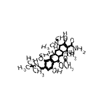 COC1=C2C(=O)c3c(O)cc(CNC(C)(C)C)c(OC)c3C[C@H]2C[C@H]2[C@H](N(C)C)C(O)=C(C(N)=O)C(=N)[C@@]12OC